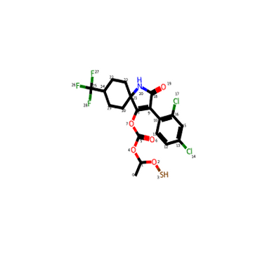 CC(OS)OC(=O)OC1=C(c2ccc(Cl)cc2Cl)C(=O)NC12CCC(C(F)(F)F)CC2